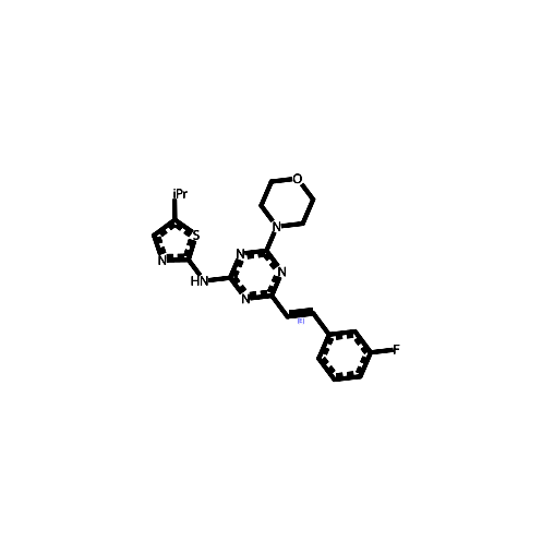 CC(C)c1cnc(Nc2nc(/C=C/c3cccc(F)c3)nc(N3CCOCC3)n2)s1